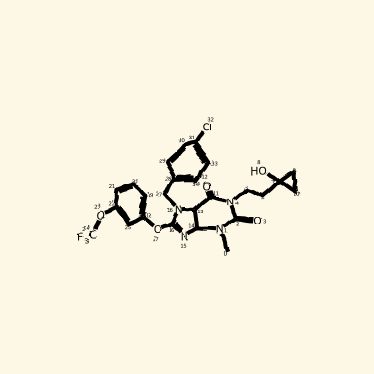 CN1C(=O)N(CCC2(O)CC2)C(=O)C2C1N=C(Oc1cccc(OC(F)(F)F)c1)N2Cc1ccc(Cl)cc1